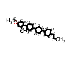 CCCC1CCC(C2CCC(c3ccc(-c4ccc(OC)cc4C)cc3)CC2)CC1